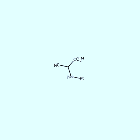 CCNC(C#N)C(=O)O